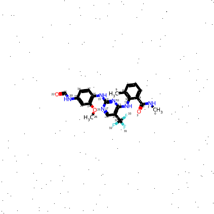 CNC(=O)c1cccc(C)c1Nc1nc(Nc2ccc(NC=O)cc2OC)ncc1C(F)(F)F